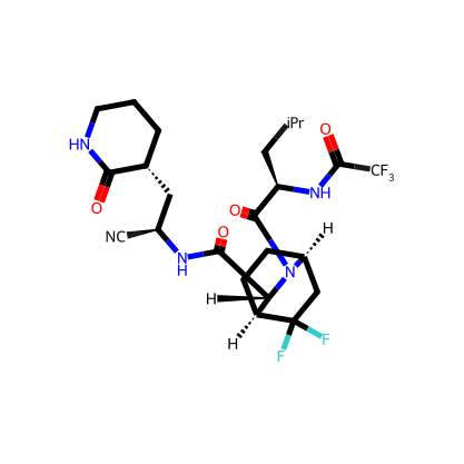 CC(C)C[C@@H](NC(=O)C(F)(F)F)C(=O)N1[C@H]2CC[C@@H]([C@@H]1C(=O)N[C@@H](C#N)C[C@H]1CCCNC1=O)C(F)(F)C2